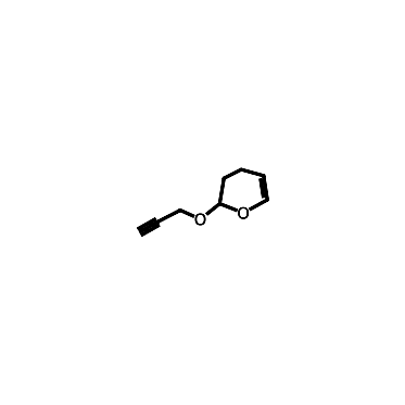 C#CCOC1CCC=CO1